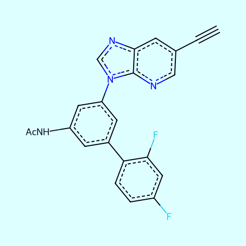 C#Cc1cnc2c(c1)ncn2-c1cc(NC(C)=O)cc(-c2ccc(F)cc2F)c1